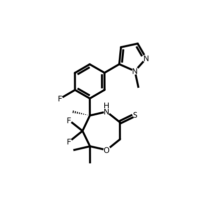 Cn1nccc1-c1ccc(F)c([C@@]2(C)NC(=S)COC(C)(C)C2(F)F)c1